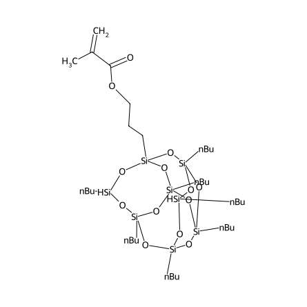 C=C(C)C(=O)OCCC[Si]12O[SiH](CCCC)O[Si]3(CCCC)O[Si]4(CCCC)O[SiH](CCCC)O[Si](CCCC)(O1)O[Si](CCCC)(O4)O[Si](CCCC)(O3)O2